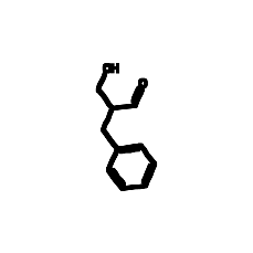 O=CC(CO)Cc1ccccc1